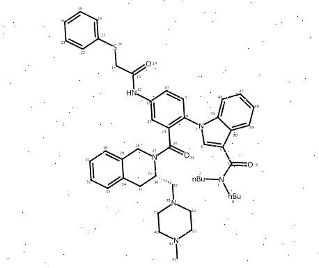 CCCCN(CCCC)C(=O)c1cn(-c2ccc(NC(=O)CSc3ccccc3)cc2C(=O)N2Cc3ccccc3C[C@H]2CN2CCN(C)CC2)c2ccccc12